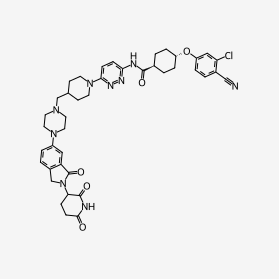 N#Cc1ccc(O[C@H]2CC[C@H](C(=O)Nc3ccc(N4CCC(CN5CCN(c6ccc7c(c6)C(=O)N(C6CCC(=O)NC6=O)C7)CC5)CC4)nn3)CC2)cc1Cl